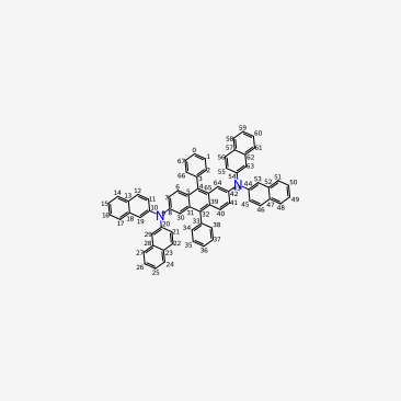 c1ccc(-c2c3ccc(N(c4ccc5ccccc5c4)c4ccc5ccccc5c4)cc3c(-c3ccccc3)c3ccc(N(c4ccc5ccccc5c4)c4ccc5ccccc5c4)cc23)cc1